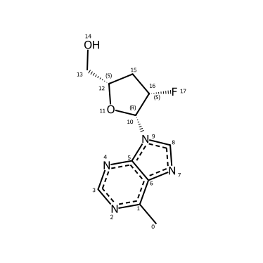 Cc1ncnc2c1ncn2[C@@H]1O[C@H](CO)C[C@@H]1F